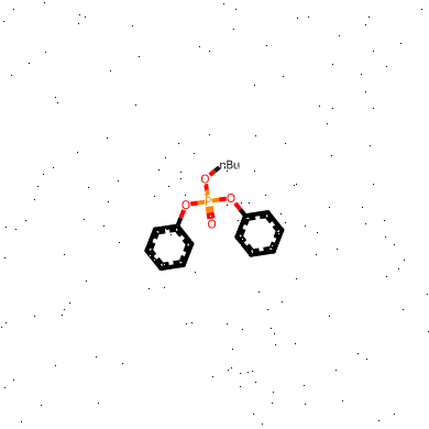 CCCCOP(=O)(Oc1ccccc1)Oc1ccccc1